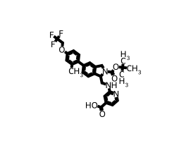 Cc1cc(OCC(F)(F)F)ccc1-c1ccc2c(c1)CN(C(=O)OC(C)(C)C)C2CNc1cc(C(=O)O)ccn1